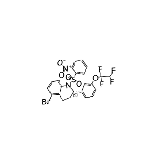 O=[N+]([O-])c1ccccc1S(=O)(=O)N1c2cccc(Br)c2CC[C@H]1c1cccc(OC(F)(F)C(F)F)c1